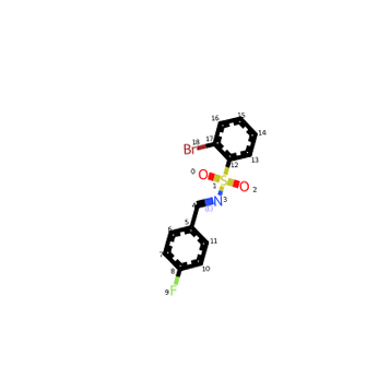 O=S(=O)(/N=C/c1ccc(F)cc1)c1ccccc1Br